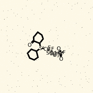 C[S+](C1CCCCC1)C1CCCCC1=O.O=S(=O)(O)F.O=S(=O)(O)F.O=S(=O)([O-])F